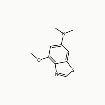 COc1cc(N(C)C)cc2scnc12